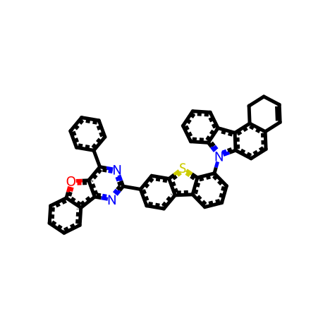 C1=Cc2ccc3c(c2CC1)c1ccccc1n3-c1cccc2c1sc1cc(-c3nc(-c4ccccc4)c4oc5ccccc5c4n3)ccc12